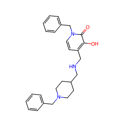 O=c1c(O)c(CNCC2CCN(Cc3ccccc3)CC2)ccn1Cc1ccccc1